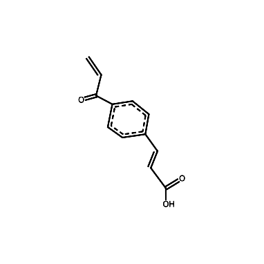 C=CC(=O)c1ccc(C=CC(=O)O)cc1